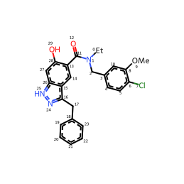 CCN(Cc1ccc(Cl)c(OC)c1)C(=O)c1cc2c(Cc3ccccc3)n[nH]c2cc1O